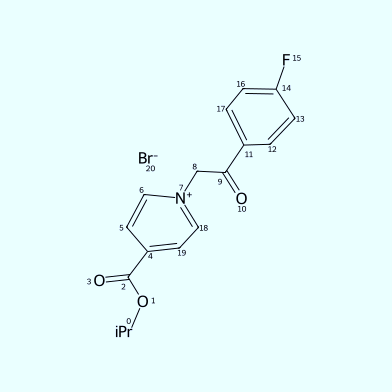 CC(C)OC(=O)c1cc[n+](CC(=O)c2ccc(F)cc2)cc1.[Br-]